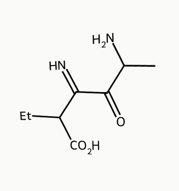 CCC(C(=N)C(=O)C(C)N)C(=O)O